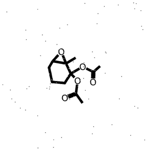 CC(=O)OC1(OC(C)=O)CCCC2OC21C